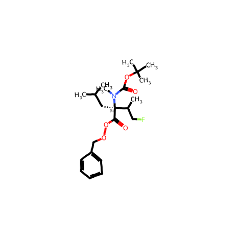 CC(C)C[C@@](C(=O)OOCc1ccccc1)(C(C)CF)N(C)C(=O)OC(C)(C)C